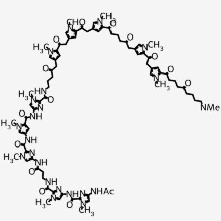 CNCCCCC(=O)CCCC(=O)c1cc(CC(=O)c2cc(CC(=O)CCCC(=O)c3cc(CC(=O)c4cc(CC(=O)c5cc(CC(=O)CCCNC(=O)c6nc(NC(=O)c7cc(NC(=O)c8nc(NC(=O)CCNC(=O)c9nc(NC(=O)c%10nc(NC(C)=O)cn%10C)cn9C)cn8C)cn7C)cn6C)cn5C)cn4C)cn3C)cn2C)cn1C